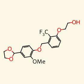 COc1cc(C2OCCO2)ccc1OCc1cccc(OCCO)c1C(F)(F)F